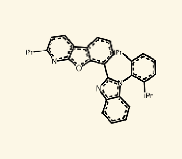 CC(C)c1ccc2c(n1)oc1c(-c3nc4ccccc4n3-c3c(C(C)C)cccc3C(C)C)cccc12